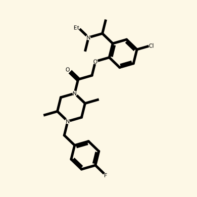 CCN(C)C(C)c1cc(Cl)ccc1OCC(=O)N1CC(C)N(Cc2ccc(F)cc2)CC1C